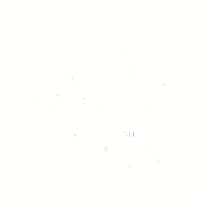 CC(C)(C)OC1OC(C(=O)O)C(OC2OC(COS(=O)(=O)O)C(O)C(O)C2NOS(=O)(=O)O)C(OS(=O)(=O)O)C1O